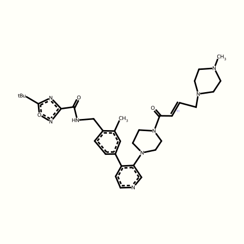 Cc1cc(-c2ccncc2N2CCN(C(=O)/C=C/CN3CCN(C)CC3)CC2)ccc1CNC(=O)c1noc(C(C)(C)C)n1